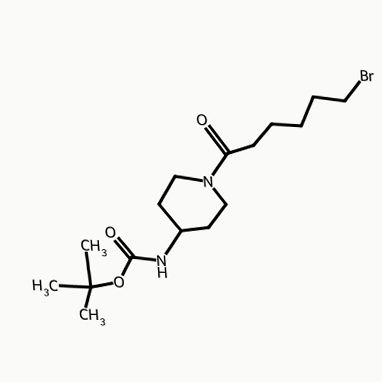 CC(C)(C)OC(=O)NC1CCN(C(=O)CCCCCBr)CC1